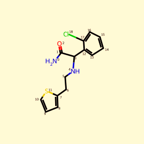 NC(=O)C(NCCc1cccs1)c1ccccc1Cl